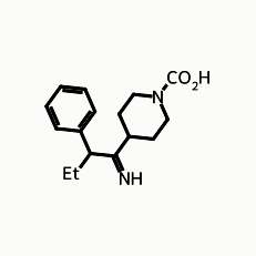 CCC(C(=N)C1CCN(C(=O)O)CC1)c1ccccc1